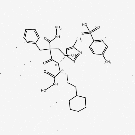 CCCC(Cc1ccccc1)(C(=O)NN)C(=O)[C@@H]([C@H](CCCC1CCCCC1)C(=O)NO)n1cc(C)nn1.Cc1ccc(S(=O)(=O)O)cc1